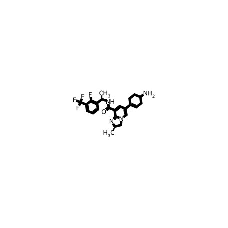 C[C@@H]1CN2C=C(C3=CCC(N)CC3)C=C(C(=O)N[C@H](C)c3cccc(C(F)(F)F)c3F)C2=N1